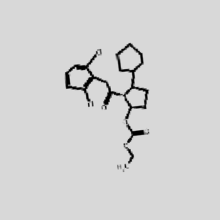 CCOC(=O)OC1CCC(C2CCCCC2)N1C(=O)Cc1c(Cl)cccc1Cl